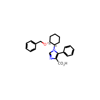 O=C(O)c1ncn([C@@H]2CCCC[C@H]2OCc2ccccc2)c1-c1ccccc1